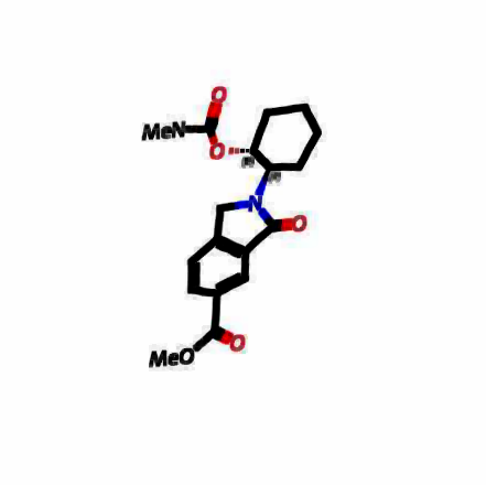 CNC(=O)O[C@@H]1CCCC[C@H]1N1Cc2ccc(C(=O)OC)cc2C1=O